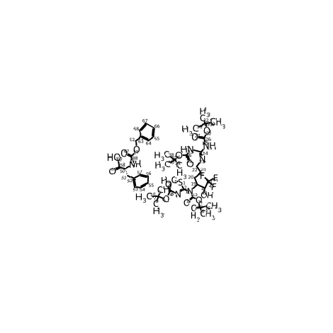 CSC(=NC(=O)OC(C)(C)C)N(C(=O)OC(C)(C)C)C(CCCN=C(NC(=O)OC(C)(C)C)NC(=O)OC(C)(C)C)C(O)C(F)(F)F.O=C(N[C@H](Cc1ccccc1)C(=O)O)OCc1ccccc1